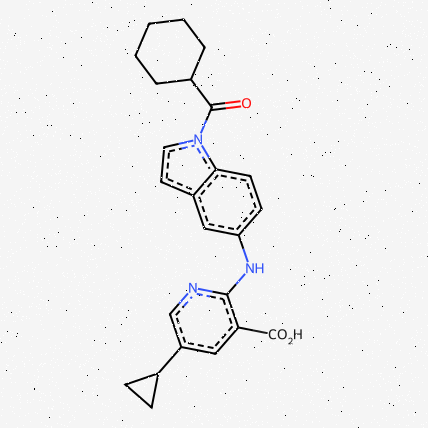 O=C(O)c1cc(C2CC2)cnc1Nc1ccc2c(ccn2C(=O)C2CCCCC2)c1